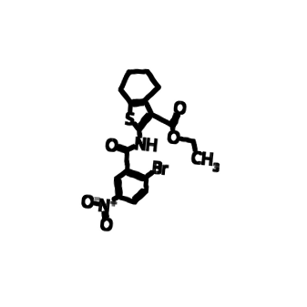 CCOC(=O)c1c(NC(=O)c2cc([N+](=O)[O-])ccc2Br)sc2c1CCCC2